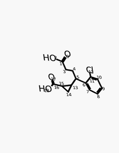 O=C(O)CCC(c1ccccc1Cl)C1CC1C(=O)O